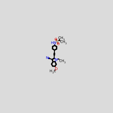 CCn1c(C#Cc2ccc(NS(=O)(=O)C(C)C)cc2)c(C#N)c2ccc(OC)cc21